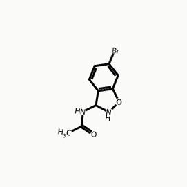 CC(=O)NC1NOc2cc(Br)ccc21